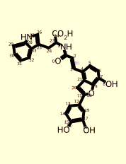 O=C(/C=C/c1ccc(O)c2oc(-c3ccc(O)c(O)c3)cc12)NC(Cc1c[nH]c2ccccc12)C(=O)O